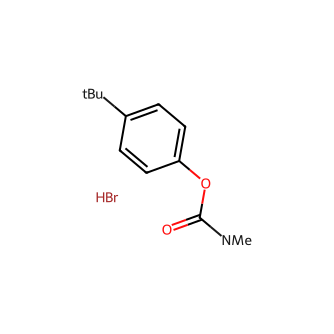 Br.CNC(=O)Oc1ccc(C(C)(C)C)cc1